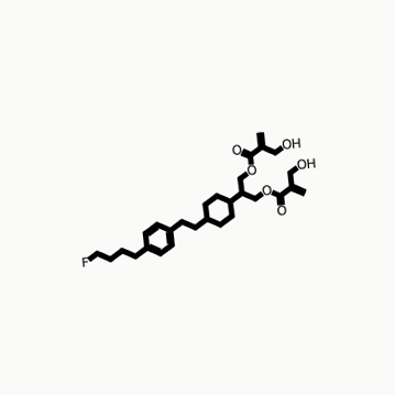 C=C(CO)C(=O)OCC(COC(=O)C(=C)CO)C1CCC(CCc2ccc(CCCCF)cc2)CC1